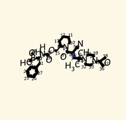 CC(C)(/C=C(\C#N)C(=O)N1CCCC[C@@H]1COC(=O)N[C@@H](Cc1ccccc1)B(O)O)N1CCN(C2COC2)CC1